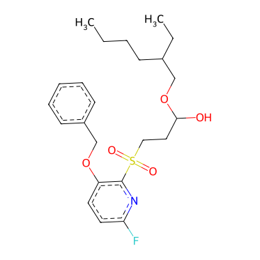 CCCCC(CC)COC(O)CCS(=O)(=O)c1nc(F)ccc1OCc1ccccc1